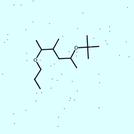 CCCOC(C)C(C)CC(C)OC(C)(C)C